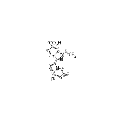 O=C(O)c1cc2c(cn1)c(-c1cnc3c(F)cc(F)cn13)nn2CC(F)(F)F